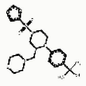 C[C@](O)(c1ccc(N2CCN(S(=O)(=O)c3cccs3)C[C@@H]2CN2CCOCC2)cc1)C(F)(F)F